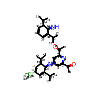 CC(=O)c1cccc(C(C)=O)n1.CC(C)C1=CC=CC(C(C)C)C1=N.CC(C)C1=CC=CC(C(C)C)C1=N.[Cl-].[Cl-].[Fe+2]